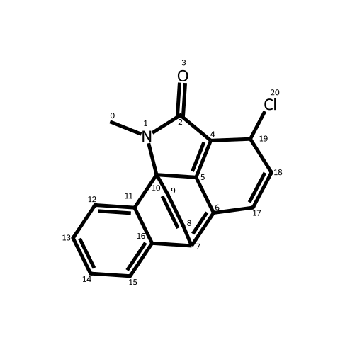 CN1C(=O)C2=C3C(=C4C=CC31c1ccccc14)C=CC2Cl